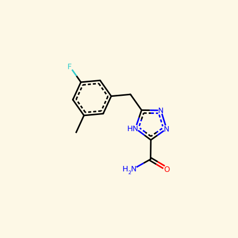 Cc1cc(F)cc(Cc2nnc(C(N)=O)[nH]2)c1